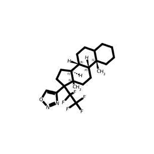 C[C@]12CCCCC1CC[C@@H]1[C@H]2CC[C@@]2(C)[C@H]1CCC2(c1conn1)C(F)(F)C(F)(F)F